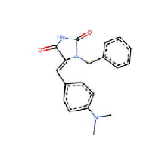 CN(C)c1ccc(/C=C2/C(=O)NC(=O)N2Cc2ccccc2)cc1